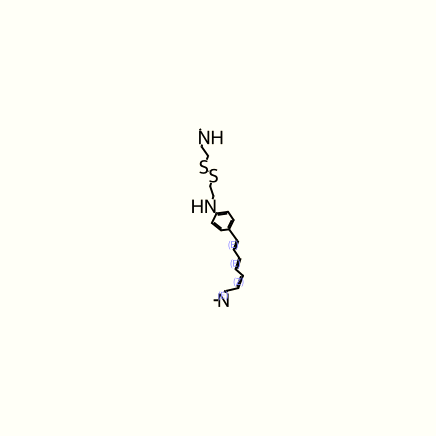 C/N=C/C=C\C=C\C=C\c1ccc(NCCSSCCNC)cc1